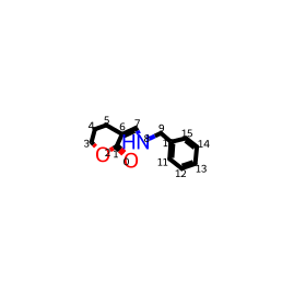 O=C1OCCCC1=CNCc1ccccc1